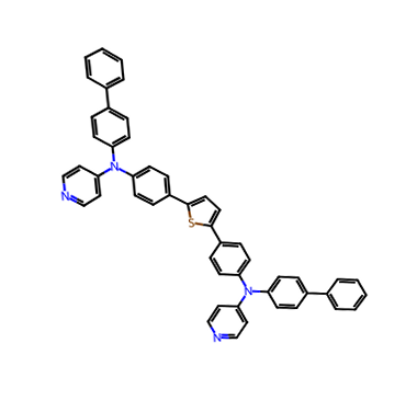 c1ccc(-c2ccc(N(c3ccncc3)c3ccc(-c4ccc(-c5ccc(N(c6ccncc6)c6ccc(-c7ccccc7)cc6)cc5)s4)cc3)cc2)cc1